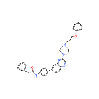 O=C(Cc1ccccc1)Nc1ccc(-c2ccc3ncc(N4CCN(CCCOc5ccccc5)CC4)nc3c2)cc1